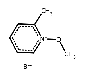 CO[n+]1ccccc1C.[Br-]